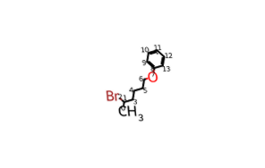 CC(Br)CCCCOc1cc[c]cc1